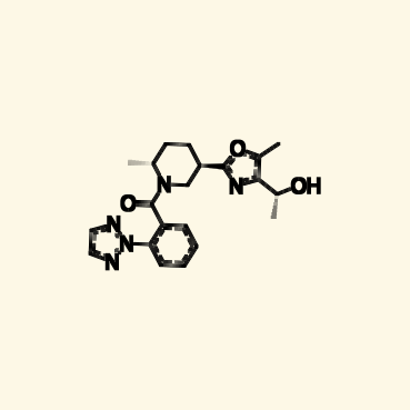 Cc1oc([C@@H]2CC[C@@H](C)N(C(=O)c3ccccc3-n3nccn3)C2)nc1[C@@H](C)O